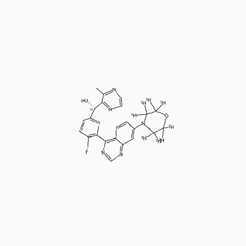 [2H]C1([2H])OC([2H])([2H])C([2H])([2H])N(c2ccc3c(-c4cc([C@H](O)c5nccnc5C)ccc4F)ncnc3c2)C1([2H])[2H]